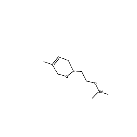 CC1=CCC(CCO[SiH](C)C)OC1